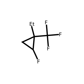 CCC1(C(F)(F)F)CC1F